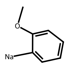 COc1cccc[c]1[Na]